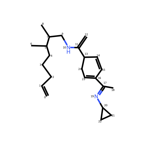 C=CCCCC(C)C(C)CNC(=C)C1C=CC(/C(C)=N/C2CC2)=CC1